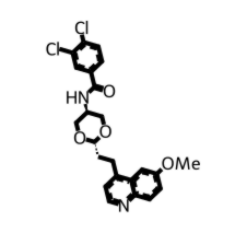 COc1ccc2nccc(CC[C@H]3OC[C@H](NC(=O)c4ccc(Cl)c(Cl)c4)CO3)c2c1